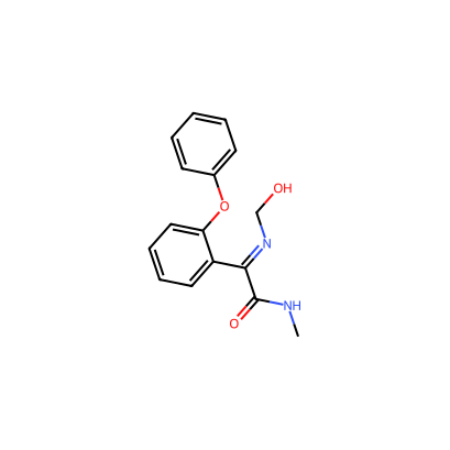 CNC(=O)/C(=N/CO)c1ccccc1Oc1ccccc1